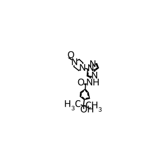 CC(C)(O)c1ccc(C(=O)Nc2cc(N3CCN(C=O)CC3)n3nccc3n2)cc1